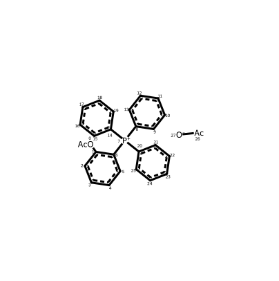 CC(=O)Oc1ccccc1[P+](c1ccccc1)(c1ccccc1)c1ccccc1.CC(=O)[O-]